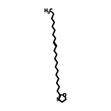 CCCCCCCCC=CCCCCCCCCCCCC1=NCCO1